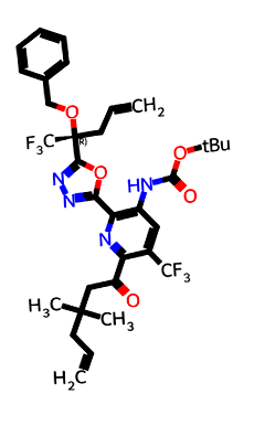 C=CCC(C)(C)CC(=O)c1nc(-c2nnc([C@@](CC=C)(OCc3ccccc3)C(F)(F)F)o2)c(NC(=O)OC(C)(C)C)cc1C(F)(F)F